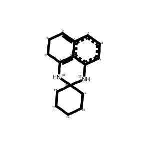 C1=c2cccc3c2=C(CC1)NC1(CCCCC1)N3